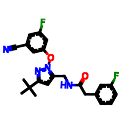 CC(C)(C)c1cc(CNC(=O)Cc2cccc(F)c2)n(Oc2cc(F)cc(C#N)c2)n1